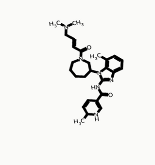 Cc1cccc2nc(NC(=O)C3=CNC(C)C=C3)n(C3CCCCN(C(=O)/C=C/CN(C)C)C3)c12